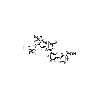 CC(C)CNc1cc2c(cc1C(F)(F)F)NC(=O)CC(c1cccc(-c3ccnc(CO)c3)c1)=N2